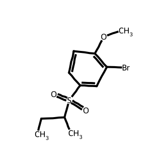 CCC(C)S(=O)(=O)c1ccc(OC)c(Br)c1